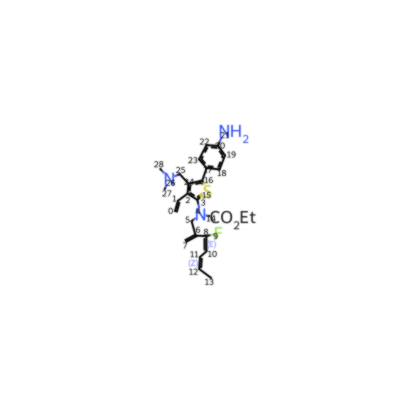 C=Cc1c(N(CC(=C)/C(F)=C\C=C/C)C(=O)OCC)sc(-c2ccc(N)cc2)c1CN(C)C